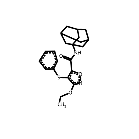 CCOc1noc(C(=O)NC23CC4CC(CC(C4)C2)C3)c1Sc1ccccc1